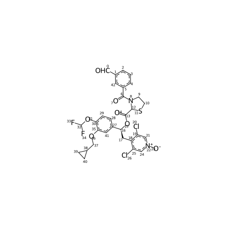 O=Cc1cccc(C(=O)N2CCSC2C(=O)O[C@@H](Cc2c(Cl)c[n+]([O-])cc2Cl)c2ccc(OC(F)F)c(OCC3CC3)c2)c1